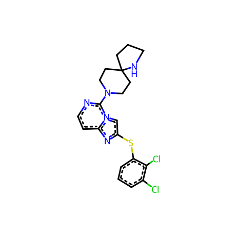 Clc1cccc(Sc2cn3c(N4CCC5(CCCN5)CC4)nccc3n2)c1Cl